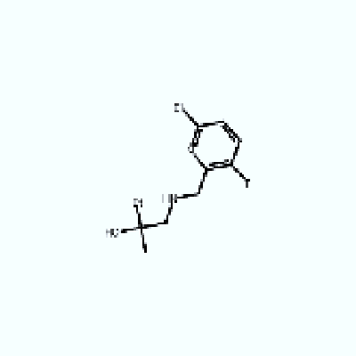 CCC(C)(O)CNCc1nc(Cl)ccc1F